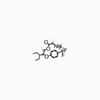 CCC(CC)[C@@H](Oc1ccc(C(F)(F)F)cc1)[C@H](C)OC(=O)[C@H](C)N